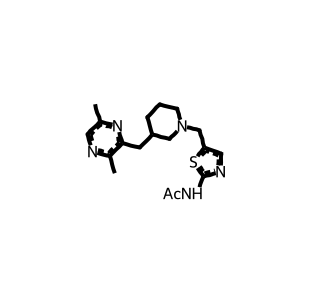 CC(=O)Nc1ncc(CN2CCCC(Cc3nc(C)cnc3C)C2)s1